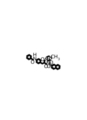 CN1CCN(C(=O)C(Cc2ccc(NC(=O)c3ccccc3)cc2)C(=O)NS(=O)(=O)c2ccc3ccccc3c2)CC1